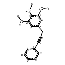 COc1cc(CC#Cc2ccccc2)cc(OC)c1OC